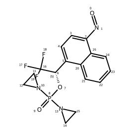 O=Nc1ccc([C@H](OP(=O)(N2CC2)N2CC2)C(F)(F)F)c2ccccc12